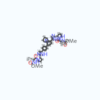 COC(=O)N[C@H](C(=O)N1CCC[C@H]1c1ncc(-c2ccc(-c3ccc(-c4cnc([C@@H]5CCCN5C(=O)[C@H](NC(=O)OC)C(C)C)[nH]4)c4c3C3CCC4N3C)cc2)[nH]1)C(C)C